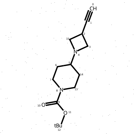 C#CC1CN(C2CCN(C(=O)OC(C)(C)C)CC2)C1